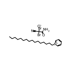 CCCCCCCCCCCCCCCC[n+]1ccccc1.N#CC(Br)(Br)C(N)=O.[Cl-]